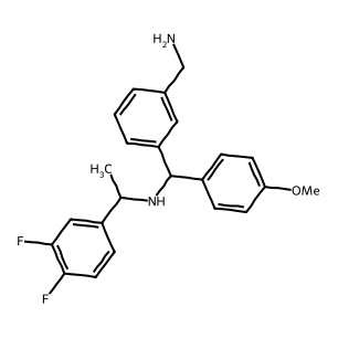 COc1ccc(C(NC(C)c2ccc(F)c(F)c2)c2cccc(CN)c2)cc1